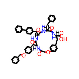 O=C1COc2ccc(cc2)C[C@@H](C(=O)O)NC(=O)[C@H](CCc2ccccc2)NC(=O)[C@@H](Cc2ccc(-c3ccccc3)cc2)NC(=O)[C@H](Cc2ccc(OCc3ccccc3)cc2)N1